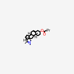 CC(C)C(=O)O[C@H]1CC[C@@]2(C)C(=CC[C@H]3[C@@H]4CC[C@@H]5[C@H](C)N(C)C[C@@]54CC[C@@H]32)C1